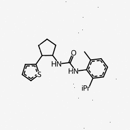 Cc1cccc(C(C)C)c1NC(=O)NC1CCCC1c1cccs1